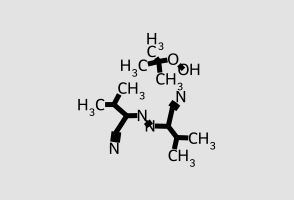 CC(C)(C)OO.CC(C)C(C#N)/N=N/C(C#N)C(C)C